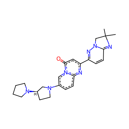 CC1(C)CN2N=C(c3cc(=O)n4cc(N5CC[C@@H](N6CCCC6)C5)ccc4n3)C=CC2=N1